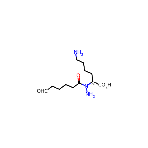 NCCCC[C@@H](C(=O)O)N(N)C(=O)CCCCC=O